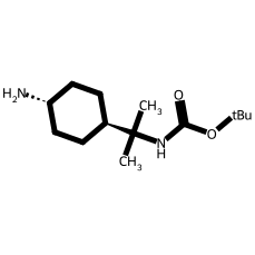 CC(C)(C)OC(=O)NC(C)(C)[C@H]1CC[C@H](N)CC1